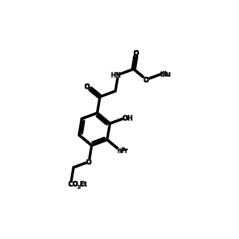 CCCc1c(OCC(=O)OCC)ccc(C(=O)CNC(=O)OC(C)(C)C)c1O